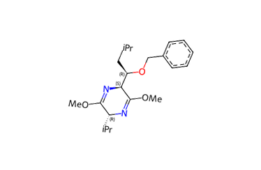 COC1=N[C@H](C(C)C)C(OC)=N[C@H]1[C@@H](CC(C)C)OCc1ccccc1